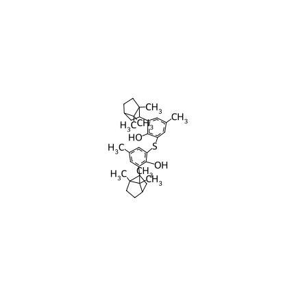 Cc1cc(Sc2cc(C)cc(C3CC4CCC3(C)C4(C)C)c2O)c(O)c(C2CC3CCC2(C)C3(C)C)c1